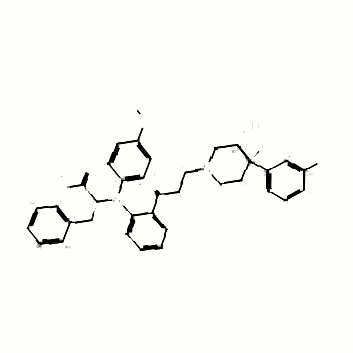 COc1ccc(N(c2ccccc2C(=O)CCN2CC[C@@](C)(c3cccc(O)c3)[C@@H](C)C2)[C@@H](Cc2ccccc2)C(=O)O)cc1